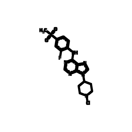 CS(=O)(=O)c1ccc(Nc2ncnc3c2ncn3C2CCN(Cl)CC2)c(F)c1